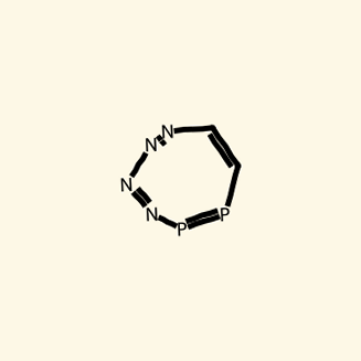 C1=CP=PN=NN=N1